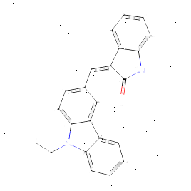 CCn1c2ccccc2c2cc(C=C3C(=O)Nc4ccccc43)ccc21